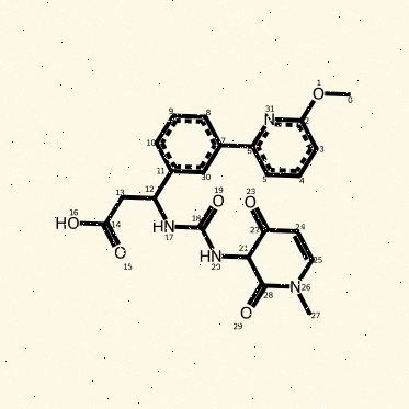 COc1cccc(-c2cccc(C(CC(=O)O)NC(=O)NC3C(=O)C=CN(C)C3=O)c2)n1